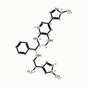 C[C@@H](CN[C@H](c1ccccc1)[C@H]1CNc2cc(-c3cnn(C)c3)cnc2N1)c1cnn(C)c1